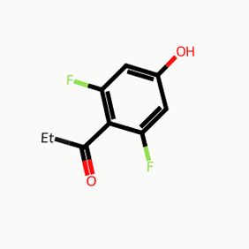 CCC(=O)c1c(F)cc(O)cc1F